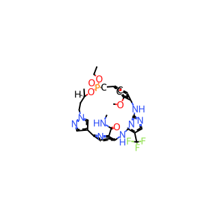 CCOP1(=O)Cc2ccc(c(OC)c2)Nc2ncc(C(F)(F)F)c(n2)Nc2ccc(nc2C(=O)NC)-c2cnn(c2)CC[C@@H](C)O1